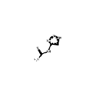 NC(=S)Nc1c[nH]nn1